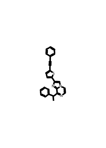 CC(c1ccccc1)c1nccn2[c]c(-c3ccc(C#Cc4ccccc4)s3)nc12